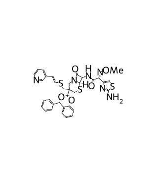 CON=C(C(=O)NC1C(=O)N2CC(CSC=Cc3cccnc3)(C(=O)OC(c3ccccc3)c3ccccc3)CS[C@H]12)c1csc(N)n1